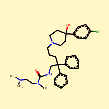 CN(C)CCN(C)C(=O)NCC(CCCN1CCC(O)(c2ccc(Cl)cc2)CC1)(c1ccccc1)c1ccccc1